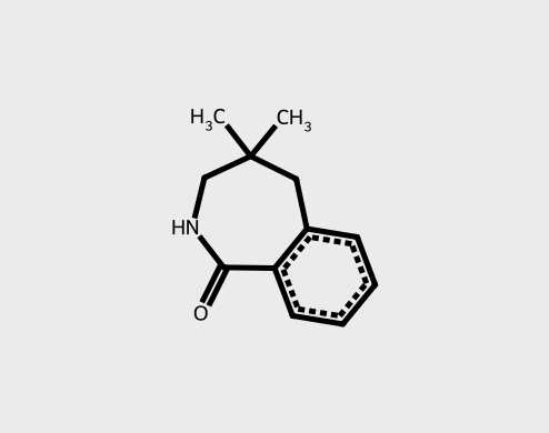 CC1(C)CNC(=O)c2ccccc2C1